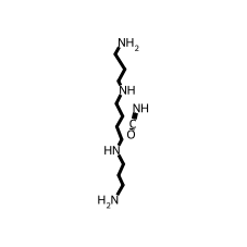 N=C=O.NCCCNCCCCNCCCN